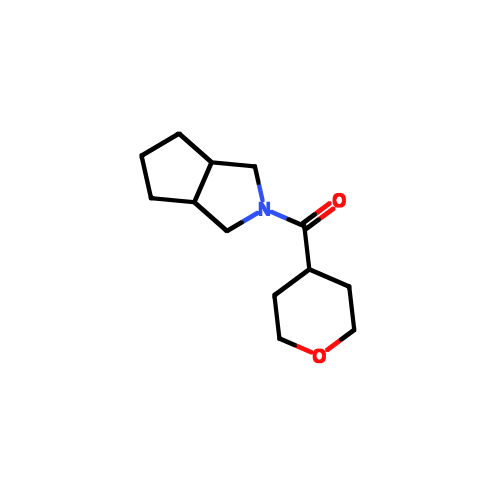 O=C(C1CCOCC1)N1CC2CCCC2C1